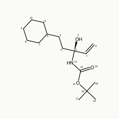 C=C[C@@](O)(CCC1CCCCC1)NC(=O)OC(C)(C)C